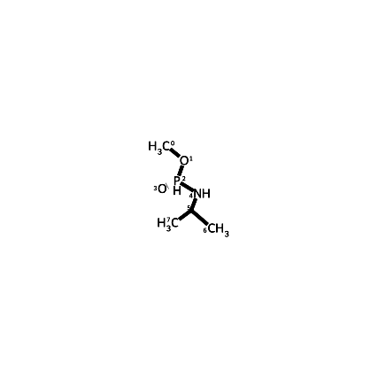 CO[PH](=O)NC(C)C